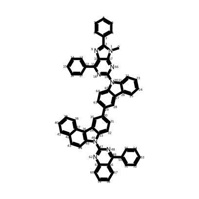 Cn1c(-c2ccccc2)nc2c(-c3ccccc3)nc(-n3c4ccccc4c4cc(-c5ccc6c(c5)c5c7ccccc7ccc5n6-c5nc(-c6ccccc6)c6ccccc6n5)ccc43)nc21